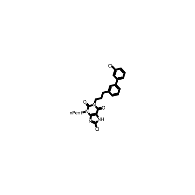 CCCCCn1c(=O)n(CCCc2cccc(-c3cccc(Cl)c3)c2)c(=O)c2[nH]c(Cl)nc21